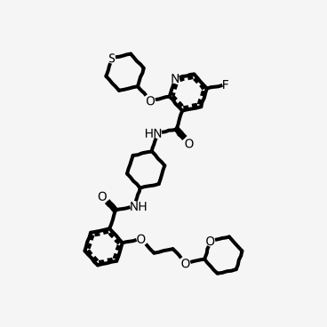 O=C(NC1CCC(NC(=O)c2cc(F)cnc2OC2CCSCC2)CC1)c1ccccc1OCCOC1CCCCO1